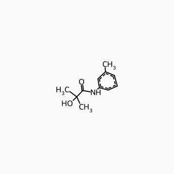 Cc1cccc(NC(=O)C(C)(C)O)c1